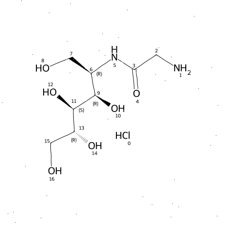 Cl.NCC(=O)N[C@H](CO)[C@@H](O)[C@H](O)[C@H](O)CO